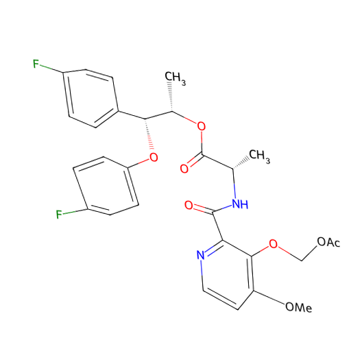 COc1ccnc(C(=O)N[C@@H](C)C(=O)O[C@@H](C)[C@H](Oc2ccc(F)cc2)c2ccc(F)cc2)c1OCOC(C)=O